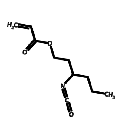 C=CC(=O)OCCC(CCC)N=C=O